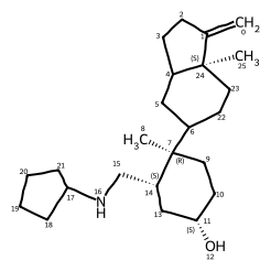 C=C1CCC2CC([C@@]3(C)CC[C@H](O)C[C@@H]3CNC3CCCC3)CC[C@]12C